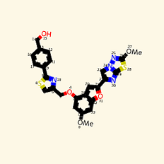 COc1cc(OCc2csc(-c3ccc(CO)cc3)n2)c2cc(-c3cn4nc(OC)sc4n3)oc2c1